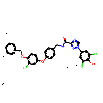 O=C(NCc1ccc(Oc2ccc(OCc3ccccc3)c(Cl)c2)cc1)c1ncn(-c2cc(Cl)c(O)c(Cl)c2)n1